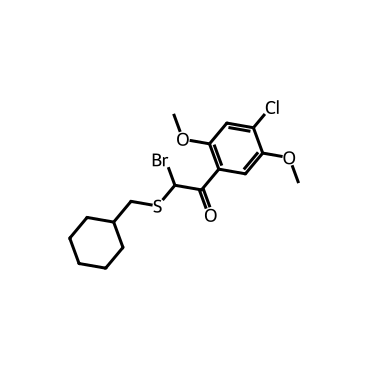 COc1cc(C(=O)C(Br)SCC2CCCCC2)c(OC)cc1Cl